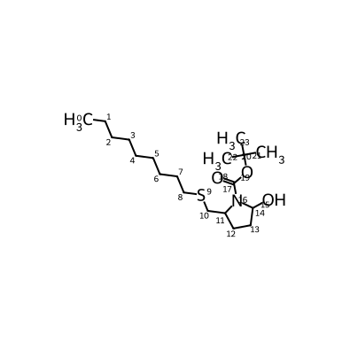 CCCCCCCCCSCC1CCC(O)N1C(=O)OC(C)(C)C